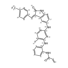 C=CC(=O)Nc1ccccc1Nc1nc(Nc2ccc3c(c2)C(=Cc2ccc(C(F)(F)F)cc2)C(=O)N3)ncc1F